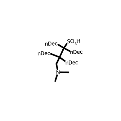 CCCCCCCCCCC(CCCCCCCCCC)(CN(C)C)C(CCCCCCCCCC)(CCCCCCCCCC)S(=O)(=O)O